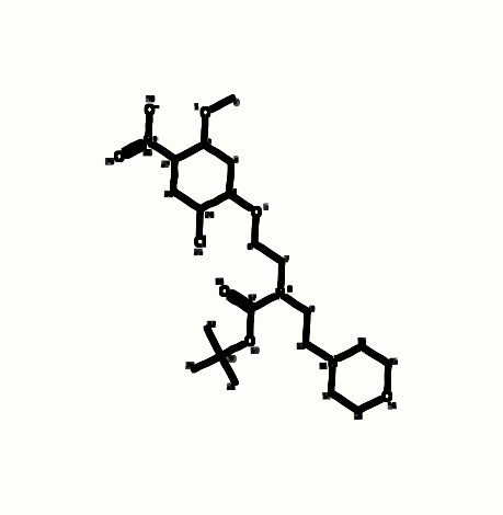 COC1CC(OCCN(CCN2CCOCC2)C(=O)OC(C)(C)C)C(Cl)CC1[N+](=O)[O-]